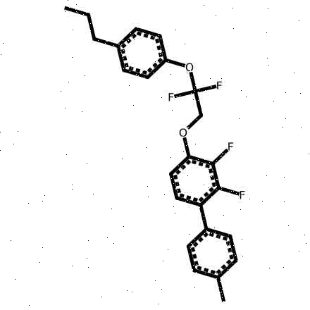 CCCc1ccc(OC(F)(F)COc2ccc(-c3ccc(C)cc3)c(F)c2F)cc1